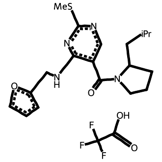 CSc1ncc(C(=O)N2CCCC2CC(C)C)c(NCc2ccco2)n1.O=C(O)C(F)(F)F